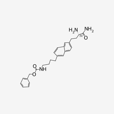 NC(=O)[C@@H](N)CCc1ccc2cc(CCCCNC(=O)OCc3ccccc3)ccc2c1